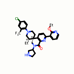 CCOc1ncccc1-c1ccc2c(n1)C(=O)N(C1CCNC1)C[C@]21CCN(c2ccc(Cl)cc2C(F)(F)F)C[C@H]1CC